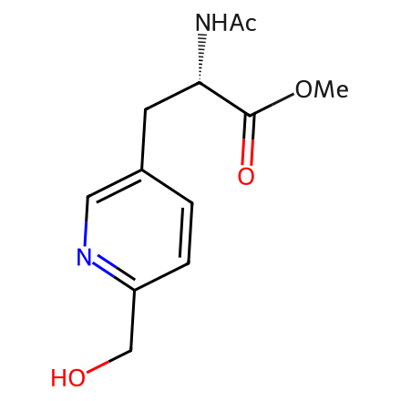 COC(=O)[C@H](Cc1ccc(CO)nc1)NC(C)=O